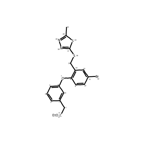 CCOC(=O)Cc1cccc(Oc2ccc(Br)cc2CSc2nnc(C)s2)c1